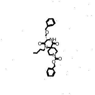 CCCCN1C(=O)[C@H](COCc2ccccc2)NC(=O)C12CCN(C(=O)OCc1ccccc1)CC2